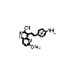 COc1ccc2nnc(C#N)c(C=CC34CCC(N)(CC3)CO4)c2n1